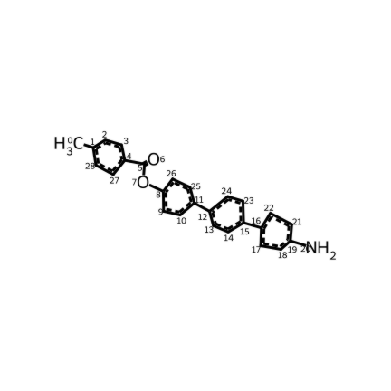 Cc1ccc(C(=O)Oc2ccc(-c3ccc(-c4ccc(N)cc4)cc3)cc2)cc1